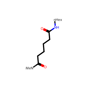 CCCCCCNC(=O)CCCCC(=O)NC